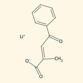 C/C(=C\C(=O)c1ccccc1)C(=O)[O-].[Li+]